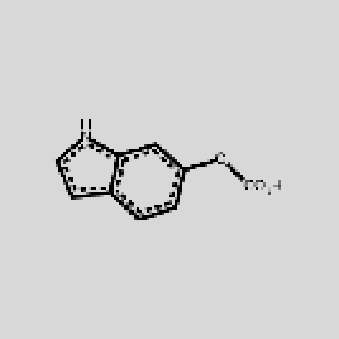 O=C(O)Oc1ccc2cc[nH]c2c1